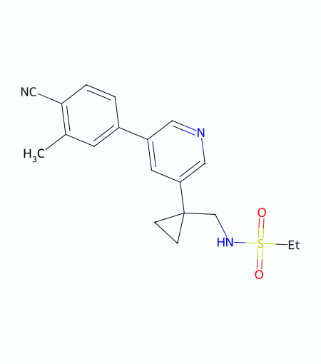 CCS(=O)(=O)NCC1(c2cncc(-c3ccc(C#N)c(C)c3)c2)CC1